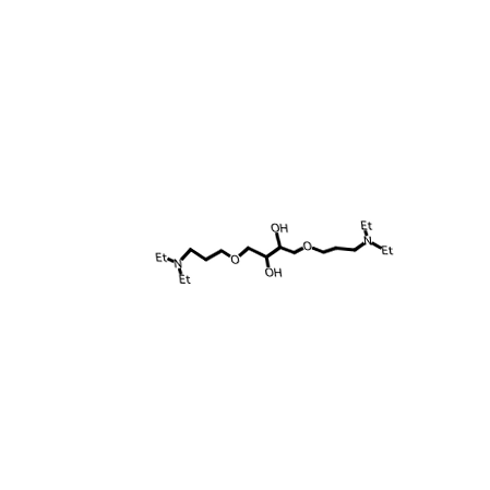 CCN(CC)CCCOCC(O)C(O)COCCCN(CC)CC